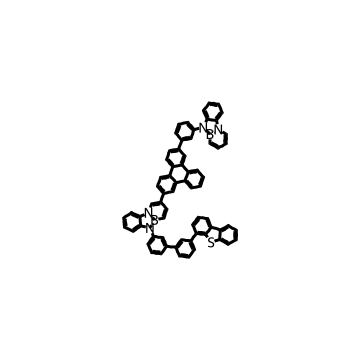 C1=CB2N(C=C1)c1ccccc1N2c1cccc(-c2ccc3c4ccc(C5=CN6B(C=C5)N(c5cccc(-c7cccc(-c8cccc9c8sc8ccccc89)c7)c5)c5ccccc56)cc4c4ccccc4c3c2)c1